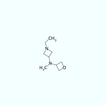 CCN1CC(N(C)C2COC2)C1